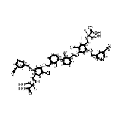 Cc1c(COc2cc(OCc3cncc(C#N)c3)c(CN[C@@](C)(CO)C(=O)O)cc2Cl)cccc1-c1cccc(COc2cc(OCc3cncc(C#N)c3)c(CN[C@@](C)(CO)C(=O)O)cc2Cl)c1Br